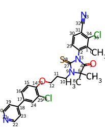 Cc1c(N2C(=O)C(C)(C)N(CCCOc3ccc(-c4ccncc4)cc3Cl)C2=S)ccc(C#N)c1Cl